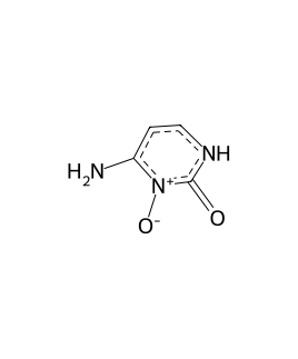 Nc1cc[nH]c(=O)[n+]1[O-]